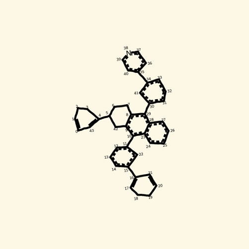 C1=CCCC(C2CCc3c(c(-c4cccc(C5=CCCC=C5)c4)c4ccccc4c3-c3cccc(-c4ccncc4)c3)C2)=C1